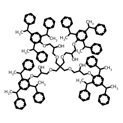 CC(c1ccccc1)c1cc(C(C)c2ccccc2)c(OCC(O)COCC(COCC(O)COc2c(C(C)c3ccccc3)cc(C(C)c3ccccc3)cc2C(C)c2ccccc2)(COCC(O)COc2c(C(C)c3ccccc3)cc(C(C)c3ccccc3)cc2C(C)c2ccccc2)COCC(O)COc2c(C(C)c3ccccc3)cc(C(C)c3ccccc3)cc2C(C)c2ccccc2)c(C(C)c2ccccc2)c1